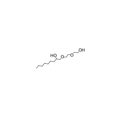 CCCCCCCC(O)COCCOCCO